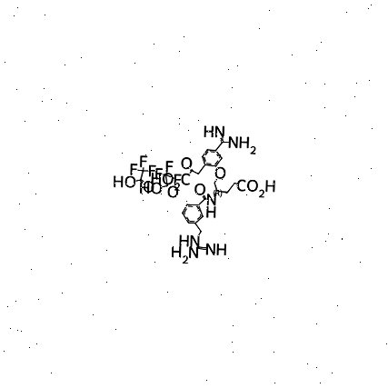 N=C(N)NCc1cccc(C(=O)N[C@H](CCC(=O)O)COc2cc(C(=N)N)ccc2CC(=O)C(=O)O)c1.O=C(O)C(F)(F)F.O=C(O)C(F)(F)F